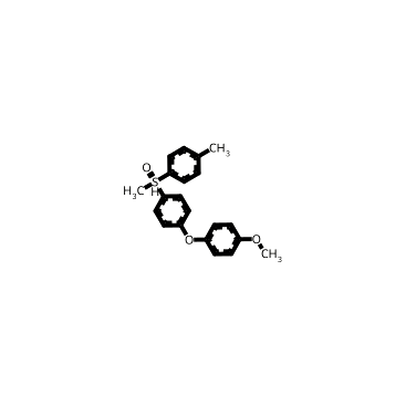 COc1ccc(Oc2ccc([SH](C)(=O)c3ccc(C)cc3)cc2)cc1